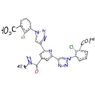 CCNC(=O)c1cc(-c2cn(-c3cccc(C(=O)O)c3Cl)nn2)nc(-c2cn(-c3cccc(C(=O)O)c3Cl)nn2)c1